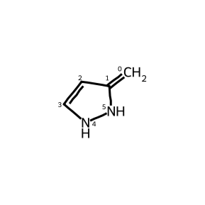 C=C1C=CNN1